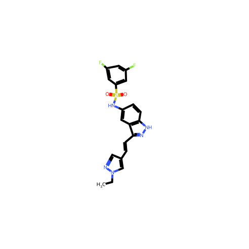 CCn1cc(C=Cc2n[nH]c3ccc(NS(=O)(=O)c4cc(F)cc(F)c4)cc23)cn1